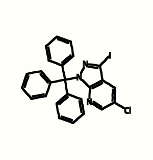 Clc1cnc2c(c1)c(I)nn2C(c1ccccc1)(c1ccccc1)c1ccccc1